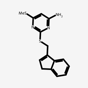 CSc1cc(N)nc(SCC2=CCc3ccccc32)n1